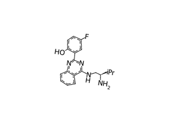 CC(C)[C@@H](N)CNc1nc(-c2cc(F)ccc2O)nc2ccccc12